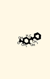 CC1(C(=O)O)CCC(C(C)(C)c2ccccc2)C(O)C1